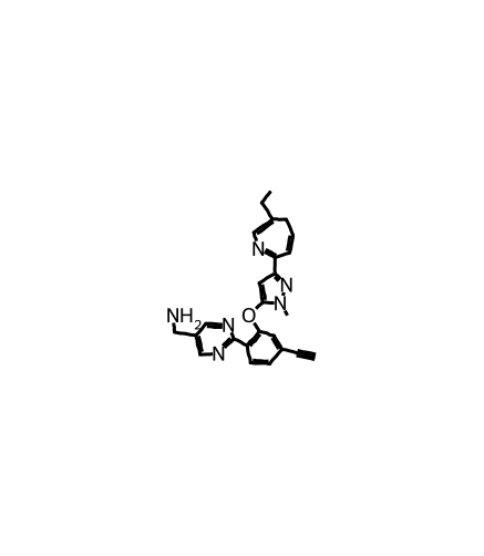 C#Cc1ccc(-c2ncc(CN)cn2)c(Oc2cc(C3=NC=C(CC)CC=C3)nn2C)c1